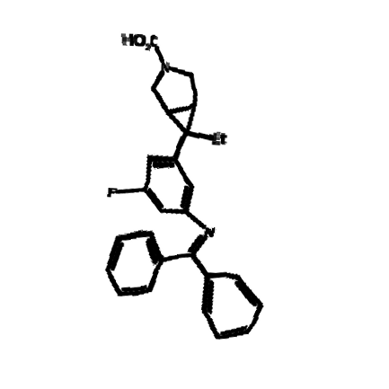 CCC1(c2cc(F)cc(N=C(c3ccccc3)c3ccccc3)c2)C2CN(C(=O)O)CC21